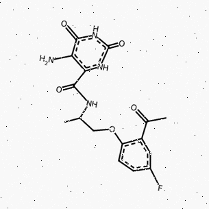 CC(=O)c1cc(F)ccc1OCC(C)NC(=O)c1[nH]c(=O)[nH]c(=O)c1N